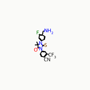 CC1(C)C(=O)N(c2ccc(C#N)c(C(F)(F)F)c2)C(=S)N1c1ccc(CN)c(F)c1